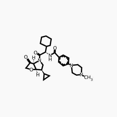 CN1CCN(c2ccc(C(=O)N[C@H](C(=O)N3C[C@@H](C4CC4)[C@H]4OCC(=O)[C@H]43)C3CCCCC3)cc2)CC1